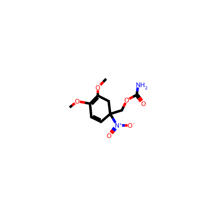 COC1=C(OC)CC(COC(N)=O)([N+](=O)[O-])C=C1